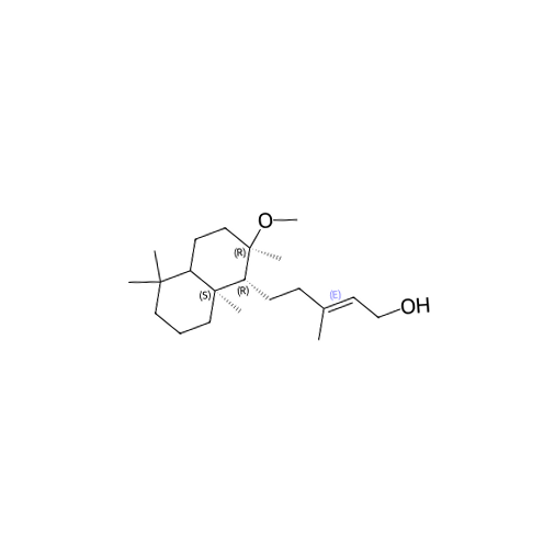 CO[C@]1(C)CCC2C(C)(C)CCC[C@]2(C)[C@H]1CC/C(C)=C/CO